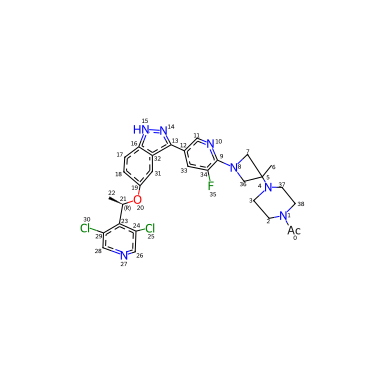 CC(=O)N1CCN(C2(C)CN(c3ncc(-c4n[nH]c5ccc(O[C@H](C)c6c(Cl)cncc6Cl)cc45)cc3F)C2)CC1